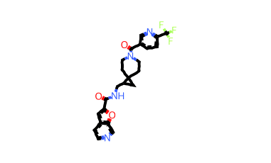 O=C(NCC1CC12CCN(C(=O)c1ccc(C(F)(F)F)nc1)CC2)c1cc2ccncc2o1